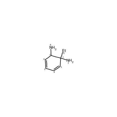 CCC1(N)C=CC=CC1N